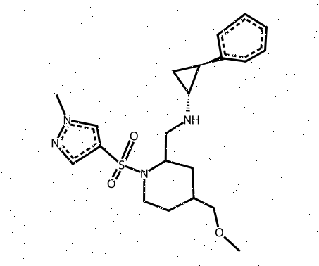 COCC1CCN(S(=O)(=O)c2cnn(C)c2)C(CN[C@@H]2C[C@H]2c2ccccc2)C1